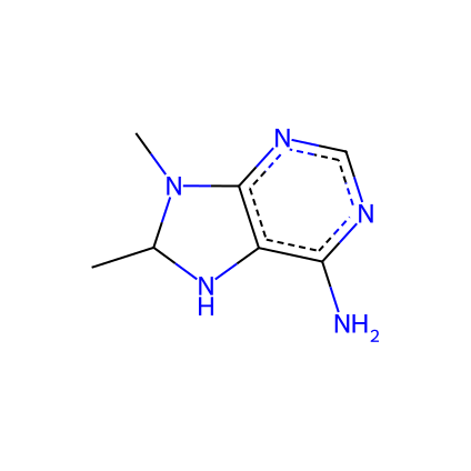 CC1Nc2c(N)ncnc2N1C